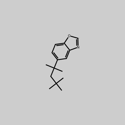 CC(C)(C)CC(C)(C)c1ccc2o[c]nc2c1